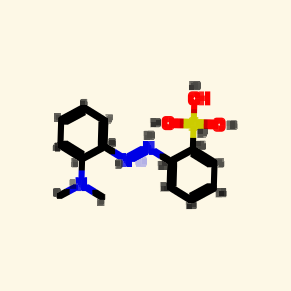 CN(C)c1ccccc1/N=N/c1ccccc1S(=O)(=O)O